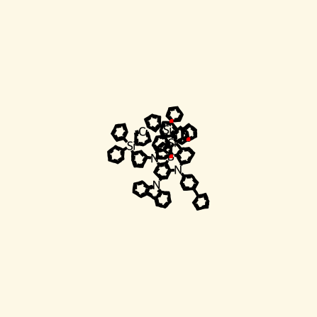 c1ccc(-c2ccc(N3c4cc(-n5c6ccccc6c6ccccc65)cc5c4B(c4cc([Si](c6ccccc6)(c6ccccc6)c6ccccc6)ccc4N5c4cccc([Si](c5ccccc5)(c5ccccc5)c5ccccc5)c4)c4c3cccc4[Si](c3ccccc3)(c3ccccc3)c3ccccc3)cc2)cc1